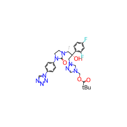 C[C@@H](N1CCN(c2ccc(-n3cnnn3)cc2)C1=O)[C@](O)(CN1CN(COC(=O)C(C)(C)C)C=N1)c1ccc(F)cc1F